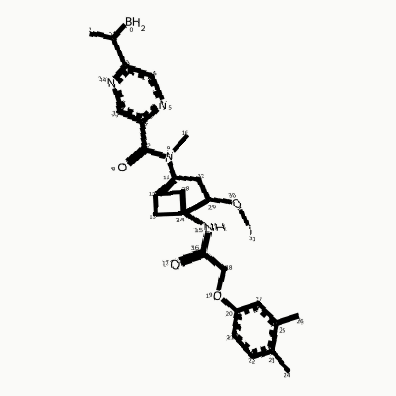 BC(C)c1cnc(C(=O)N(C)C2=C3CC(NC(=O)COc4ccc(C)c(C)c4)(C3)C(OI)C2)cn1